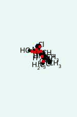 C=CC(=O)Nc1cc(Nc2nccc(-c3[nH]c(CCCO)nc3-c3ccc(Cl)cc3)n2)c(OC)cc1N(C)CCN(C)C